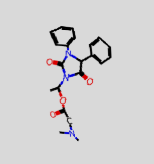 CC(OC(=O)CN(C)C)N1C(=O)C(c2ccccc2)N(c2ccccc2)C1=O